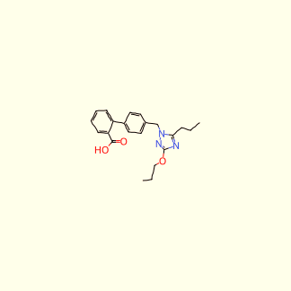 CCCOc1nc(CCC)n(Cc2ccc(-c3ccccc3C(=O)O)cc2)n1